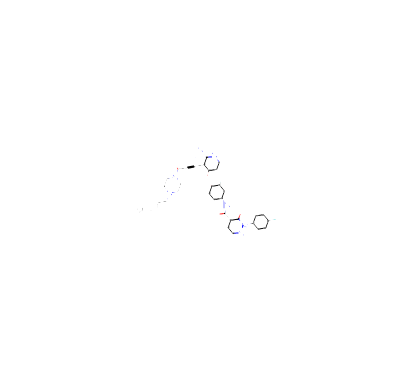 COCCN1CCN(C(=O)C#Cc2c(Oc3ccc(NC(=O)c4ccnn(-c5ccc(F)cc5)c4=O)cc3F)ccnc2N)CC1